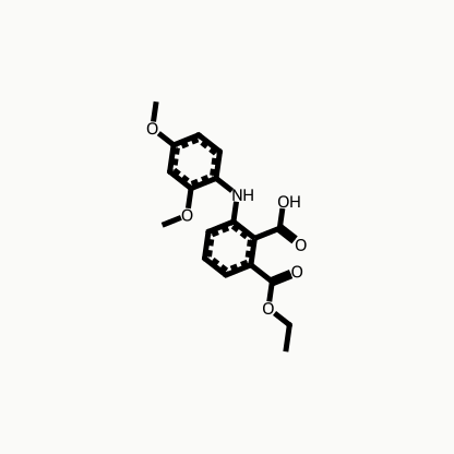 CCOC(=O)c1cccc(Nc2ccc(OC)cc2OC)c1C(=O)O